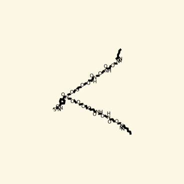 CCCCc1cn(CCOCCC(=O)NCCOCCNC(=O)CCOCCOCCOCCOCCN(CCOCCOCCOCCOCCC(=O)NCCOCCNC(=O)CCOCCn2cc(CCCC)nn2)C(=O)c2ccc(-c3nnc(SC)o3)cc2)nn1